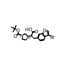 CC(C)(C)OC(=O)N1CC[C@H]([C@H](Cc2ccc3c(Br)coc3c2)C(=O)O)C1